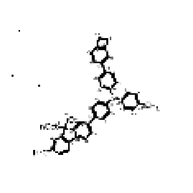 CCCCCCCCC1(CCCCCCCC)c2cc(C)ccc2-c2ccc(-c3ccc(N(c4ccc(C)cc4)c4ccc(-c5ccc6c(c5)CC6)cc4)cc3)cc21